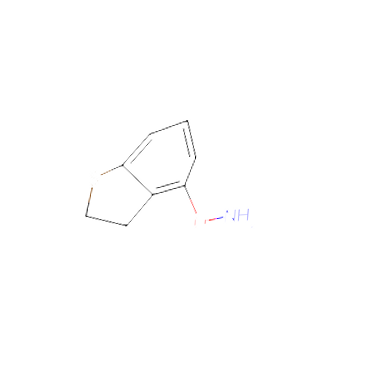 NOc1cccc2c1CCS2